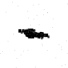 COC[C@]12CC[C@H](C)CC1CC[C@@H]1C2CC[C@@]2(C)C1CC[C@@H]2C(=O)Cn1nc2ccc(C)c(F)c2n1